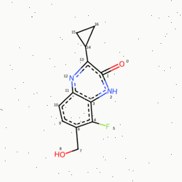 O=c1[nH]c2c(F)c(CO)ccc2nc1C1CC1